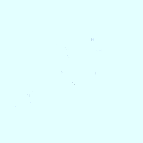 C#Cc1cccc2cccc(/C(C)=C(F)/C=c3/c(N4CC5CCC(C4)N5)nc(CCCCN4C5CCC4COC5)n/c3=C\F)c12